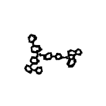 c1ccc(-c2ccc(N(c3ccc(-c4ccc(-n5c6ccccc6c6c7ccccc7ccc65)cc4)cc3)c3ccc(-c4ccccc4-c4ccccc4)cc3)cc2)cc1